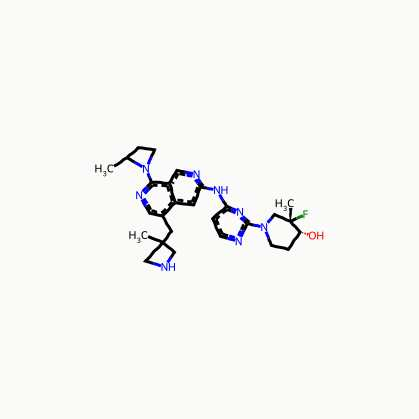 CC1CCN1c1ncc(CC2(C)CNC2)c2cc(Nc3ccnc(N4CC[C@@H](O)[C@@](C)(F)C4)n3)ncc12